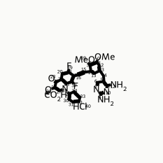 COc1cc(Cc2cnc(N)nc2N)cc(C#Cc2c(F)cc3c(=O)c(OC(=O)O)cn(-c4ccccc4)c3c2F)c1OC.Cl